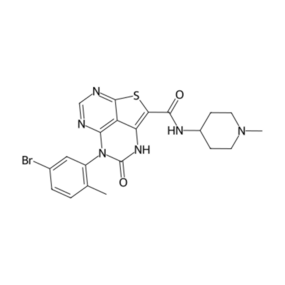 Cc1ccc(Br)cc1N1C(=O)Nc2c(C(=O)NC3CCN(C)CC3)sc3ncnc1c23